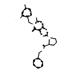 CCc1nc2sc(N3CCCC3C(=O)NCc3ccccc3)nc2c(=O)n1Cc1ccc(OC)cc1OC